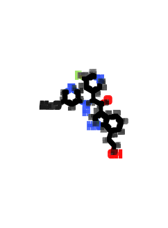 COc1cncc(NC(C(=O)c2c[nH]c3c(CCO)cccc23)c2cncc(F)c2)c1